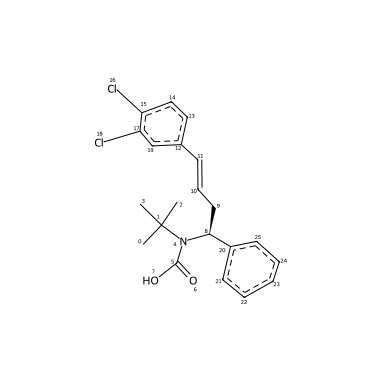 CC(C)(C)N(C(=O)O)[C@@H](CC=Cc1ccc(Cl)c(Cl)c1)c1ccccc1